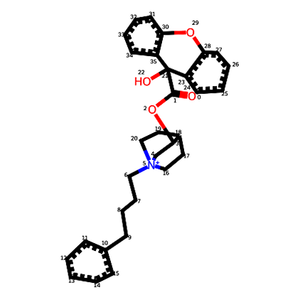 O=C(OC1C[N+]2(CCCCc3ccccc3)CCC1CC2)C1(O)c2ccccc2Oc2ccccc21